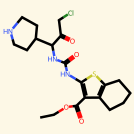 CCOC(=O)c1c(NC(=O)NC(C(=O)CCl)C2CCNCC2)sc2c1CCCC2